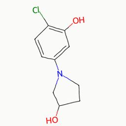 Oc1cc(N2CCC(O)C2)ccc1Cl